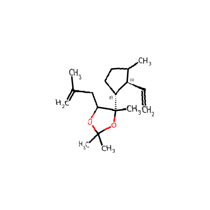 C=C[C@@H]1C(C)CC[C@H]1C1(C)OC(C)(C)OC1CC(=C)C